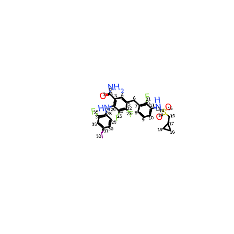 NC(=O)c1cc(Cc2cccc(NS(=O)(=O)CC3CC3)c2F)c(F)c(F)c1Nc1ccc(I)cc1F